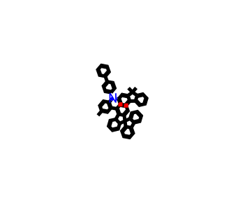 Cc1ccc(N(c2ccc(-c3ccccc3)cc2)c2ccc3c(c2)C(C)(C)c2ccccc2-3)c(-c2cccc3c2C2C=CC=CC2C32c3ccccc3-c3ccccc32)c1